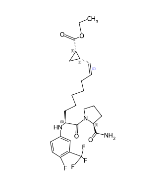 CCOC(=O)[C@H]1C[C@H]1/C=C\CCCCC[C@H](Nc1ccc(F)c(C(F)(F)F)c1)C(=O)N1CCC[C@H]1C(N)=O